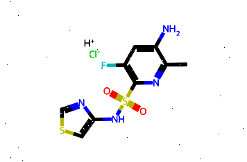 Cc1nc(S(=O)(=O)Nc2cscn2)c(F)cc1N.[Cl-].[H+]